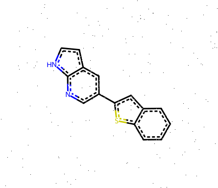 c1ccc2sc(-c3cnc4[nH]ccc4c3)cc2c1